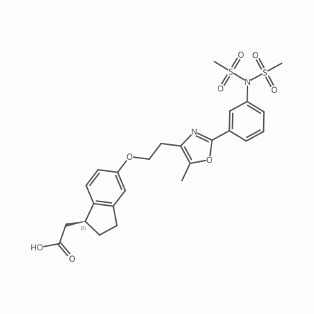 Cc1oc(-c2cccc(N(S(C)(=O)=O)S(C)(=O)=O)c2)nc1CCOc1ccc2c(c1)CC[C@H]2CC(=O)O